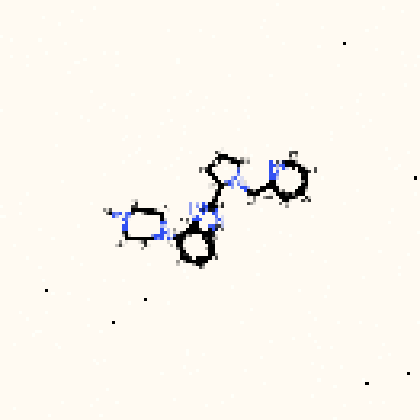 CN1CCN(c2cccc3nc(C4CCCN4Cc4ccccn4)[nH]c23)CC1